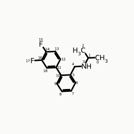 CC(C)NCc1ccccc1-c1ccc(F)c(F)c1